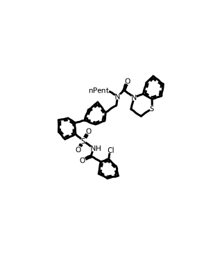 CCCCCN(Cc1ccc(-c2ccccc2S(=O)(=O)NC(=O)c2ccccc2Cl)cc1)C(=O)N1CCSc2ccccc21